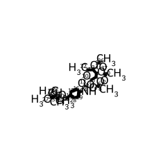 CC(=O)O[C@H]1[C@H](OC(C)=O)[C@H](OC(=O)Nc2ccc(CO[Si](C)(C)C(C)(C)C)cc2)O[C@@H](C)[C@H]1OC(C)=O